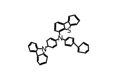 C1=CC(n2c3ccccc3c3ccccc32)CC=C1N(c1ccc(-c2ccccc2)cc1)c1cccc2c1sc1ccccc12